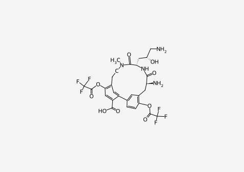 CN1CCc2cc(c(C(=O)O)cc2OC(=O)C(F)(F)F)-c2ccc(OC(=O)C(F)(F)F)c(c2)C[C@H](N)C(=O)N[C@@H](C[C@@H](O)CN)C1=O